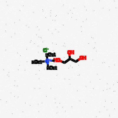 CCCCCCCC[N+](C)(CCCCCCCC)CCCCCCCC.OCC(O)CO.[Cl-]